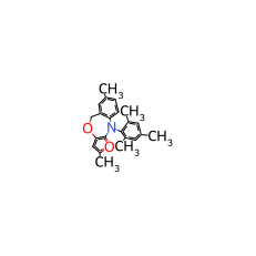 Cc1cc(C)c(N2c3ccc(C)cc3COc3cc(C)oc32)c(C)c1